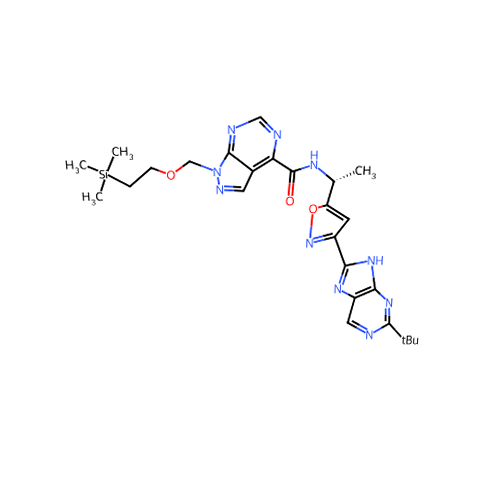 C[C@@H](NC(=O)c1ncnc2c1cnn2COCC[Si](C)(C)C)c1cc(-c2nc3cnc(C(C)(C)C)nc3[nH]2)no1